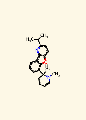 CC(C)c1ccc2oc3c(C4(C)C=CC=CN4C)cccc3c2n1